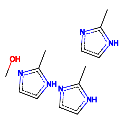 CO.Cc1ncc[nH]1.Cc1ncc[nH]1.Cc1ncc[nH]1